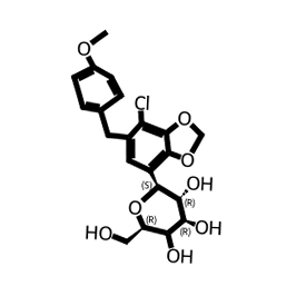 COc1ccc(Cc2cc([C@@H]3O[C@H](CO)C(O)[C@H](O)[C@H]3O)c3c(c2Cl)OCO3)cc1